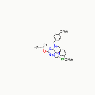 CCCC(CC)Oc1nc(N(Cc2ccc(OC)cc2)Cc2ccc(OC)cc2)c2nc(Br)cn2n1